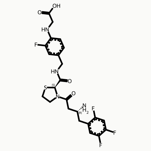 N[C@@H](CC(=O)N1CCS[C@H]1C(=O)NCc1ccc(NCC(=O)O)c(F)c1)Cc1cc(F)c(F)cc1F